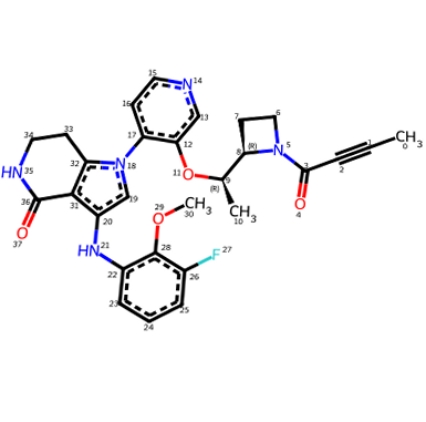 CC#CC(=O)N1CC[C@@H]1[C@@H](C)Oc1cnccc1-n1cc(Nc2cccc(F)c2OC)c2c1CCNC2=O